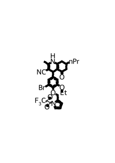 CCCC1CC(=O)C2=C(C1)NC(C)=C(C#N)C2c1cc(Br)c(OCc2cccn2S(=O)(=O)C(F)(F)F)c(OCC)c1